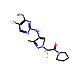 CNc1nc(Nc2cn([C@@H](C)C(=O)N3CCCC3)nc2C)ncc1C(F)(F)F